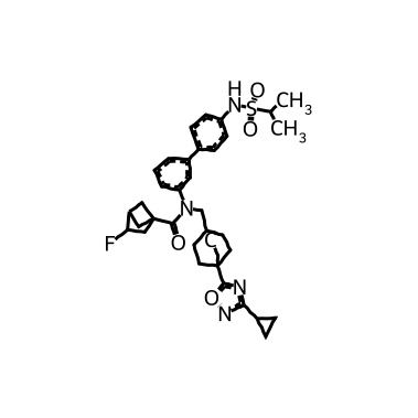 CC(C)S(=O)(=O)Nc1ccc(-c2cccc(N(CC34CCC(c5nc(C6CC6)no5)(CC3)CC4)C(=O)C34CC(F)C(C3)C4)c2)cc1